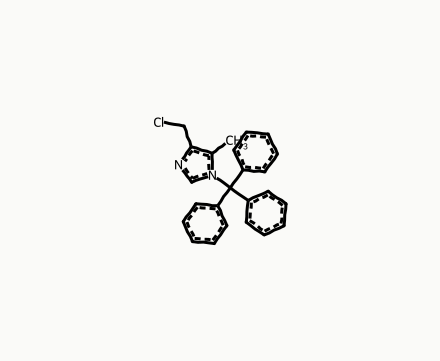 Cc1c(CCl)ncn1C(c1ccccc1)(c1ccccc1)c1ccccc1